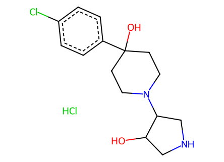 Cl.OC1CNCC1N1CCC(O)(c2ccc(Cl)cc2)CC1